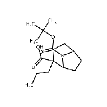 CCCC1(C(=O)O)CCC2CCC1N2C(=O)OC(C)(C)C